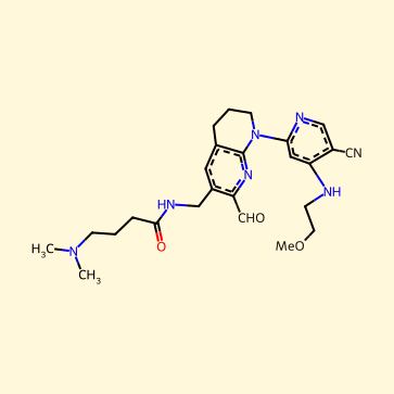 COCCNc1cc(N2CCCc3cc(CNC(=O)CCCN(C)C)c(C=O)nc32)ncc1C#N